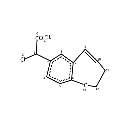 CCOC(=O)C(Cl)c1ccc2c(c1)C=CCCC2